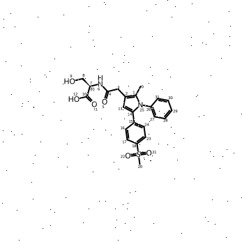 Cc1c(CC(=O)N[C@H](CO)C(=O)O)cc(-c2ccc(S(C)(=O)=O)cc2)n1-c1ccccc1